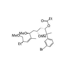 CCC(=O)O[C@@H](C[C@@H](C[C@H](OC)/C(C)=C\[C@@H](CC)COC)OC)C(C)(C)c1cccc(Br)c1